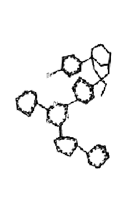 CCC1(c2ccc(-c3nc(-c4ccccc4)nc(-c4cccc(-c5ccccc5)c4)n3)cc2)CC2CCCC(c3ccc(Br)cc3)(C2)C1